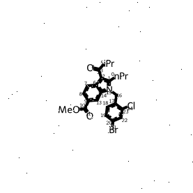 CCCc1c(C(=O)C(C)C)c2ccc(C(=O)OC)cc2n1Cc1ccc(Br)cc1Cl